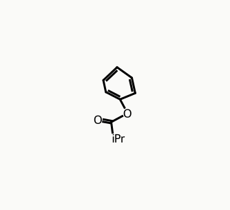 [CH2]C(C)C(=O)Oc1ccccc1